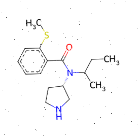 CCC(C)N(C(=O)c1ccccc1SC)[C@H]1CCNC1